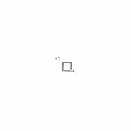 C1C[SiH2]C1.Cl